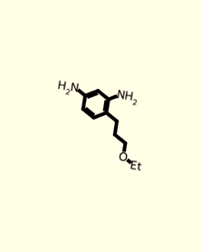 CCOCCCc1ccc(N)cc1N